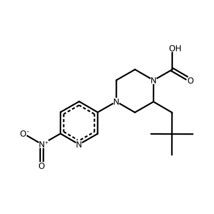 CC(C)(C)CC1CN(c2ccc([N+](=O)[O-])nc2)CCN1C(=O)O